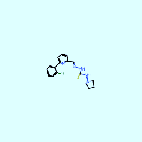 S=C(NN=Cc1cccc(-c2ccccc2Cl)n1)NN1CCCC1